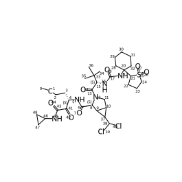 CCCC[C@H](NC(=O)[C@@H]1C2C(CN1C(=O)[C@@H](NC(=O)NC1(C3CCCS3(=O)=O)CCCCC1)C(C)(C)C)C2C(Cl)Cl)C(=O)C(=O)NC1CC1